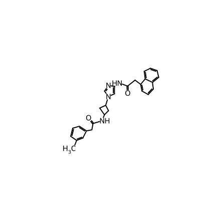 Cc1cccc(CC(=O)NC2CC(n3cnc(NC(=O)Cc4cccc5ccccc45)c3)C2)c1